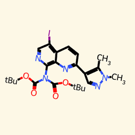 Cc1c(-c2ccc3c(I)cnc(N(C(=O)OC(C)(C)C)C(=O)OC(C)(C)C)c3n2)cnn1C